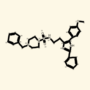 COc1ccc(-c2[nH]c(-c3ccccc3)nc2CCNS(=O)(=O)N2CCN(Cc3ccccc3)CC2)cc1